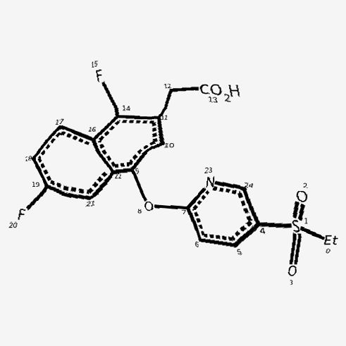 CCS(=O)(=O)c1ccc(Oc2cc(CC(=O)O)c(F)c3ccc(F)cc23)nc1